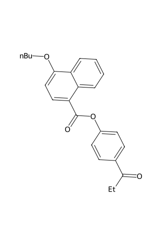 CCCCOc1ccc(C(=O)Oc2ccc(C(=O)CC)cc2)c2ccccc12